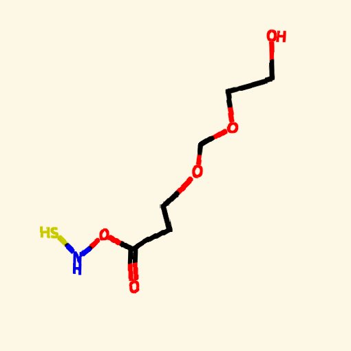 O=C(CCOCOCCO)ONS